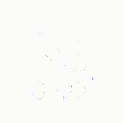 O=C(Cc1cccnc1)Nc1ccc2c(c1)C(=C(Nc1ccc(CN3CCCCC3)cc1)c1ccccc1)C(=O)N2